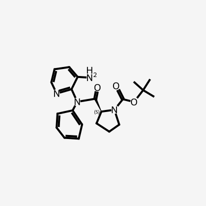 CC(C)(C)OC(=O)N1CCC[C@H]1C(=O)N(c1ccccc1)c1ncccc1N